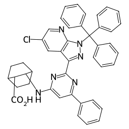 O=C(O)C1C2CCC(CC2)C1Nc1cc(-c2ccccc2)nc(-c2nn(C(c3ccccc3)(c3ccccc3)c3ccccc3)c3ncc(Cl)cc23)n1